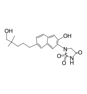 CC(C)(CO)CCCc1ccc2cc(O)c(N3CC(=O)NS3(=O)=O)cc2c1